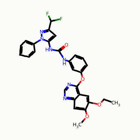 CCOc1cc2c(Oc3cccc(NC(=O)Nc4cc(C(F)F)nn4-c4ccccc4)c3)ncnc2cc1OC